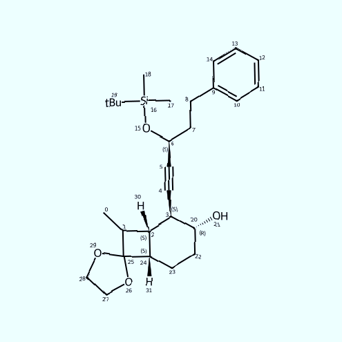 CC1[C@@H]2[C@@H](C#C[C@H](CCc3ccccc3)O[Si](C)(C)C(C)(C)C)[C@H](O)CC[C@@H]2C12OCCO2